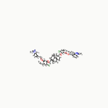 Cc1c(COc2cc(OCc3cccc4c3cnn4C)c(C=O)cc2Cl)cccc1-c1cccc(COc2cc(OCc3cccc4c3cnn4C)c(C=O)cc2Cl)c1C